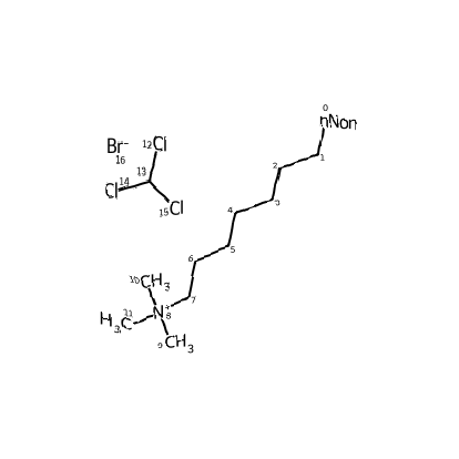 CCCCCCCCCCCCCCCC[N+](C)(C)C.ClC(Cl)Cl.[Br-]